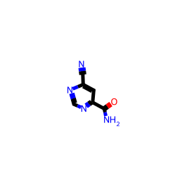 N#Cc1cc(C(N)=O)ncn1